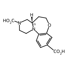 O=C(O)c1ccc2c(c1)OCC[C@H]1CN(C(=O)O)CCN21